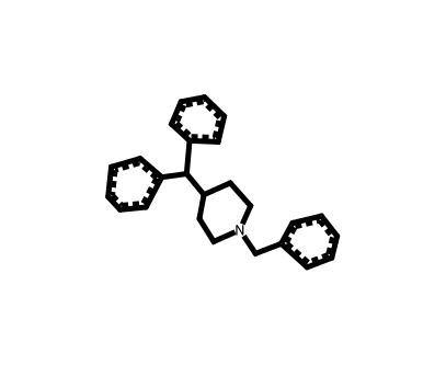 c1ccc(CN2CCC(C(c3ccccc3)c3ccccc3)CC2)cc1